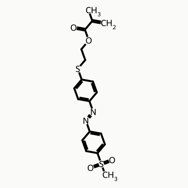 C=C(C)C(=O)OCCSc1ccc(N=Nc2ccc(S(C)(=O)=O)cc2)cc1